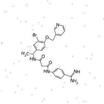 CC(NC(=O)CC(=O)Nc1ccc(C(=N)N)cc1)c1ccc(OCc2cccnc2)c(Br)c1